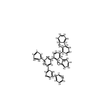 c1ccc(-c2nc(-c3cccc(-c4cccnc4)c3)cc(-c3ccc(-c4cccc5c4sc4ccccc45)c4c3oc3ccccc34)n2)cc1